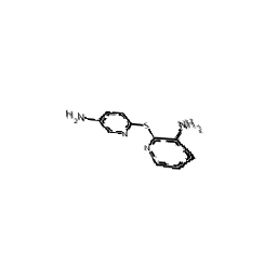 Nc1ccc(Sc2ncccc2N)nc1